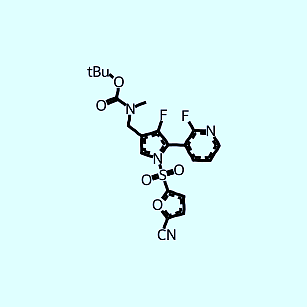 CN(Cc1cn(S(=O)(=O)c2ccc(C#N)o2)c(-c2cccnc2F)c1F)C(=O)OC(C)(C)C